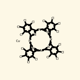 Clc1c(Cl)c(Cl)c2c(c1Cl)-c1nc-2nc2[nH]c(nc3nc(nc4[nH]c(n1)c1c(Cl)c(Cl)c(Cl)c(Cl)c41)-c1c(Cl)c(Cl)c(Cl)c(Cl)c1-3)c1c(Cl)c(Cl)c(Cl)c(Cl)c21.[Cu]